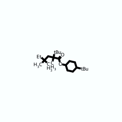 CCC(C)(C)CC(C)(C(=O)OC1CCC(C(C)(C)C)CC1)C(C)(C)C